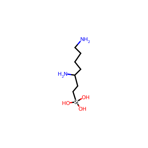 NCCCCC(N)CC[Si](O)(O)O